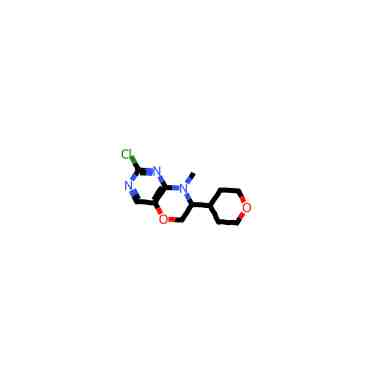 CN1c2nc(Cl)ncc2OCC1C1CCOCC1